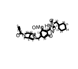 C#CC(=O)N1Cc2cn(Cc3cc(OC)c4c(NS(=O)(=O)CC5CCCCC5)noc4c3)nc2C1